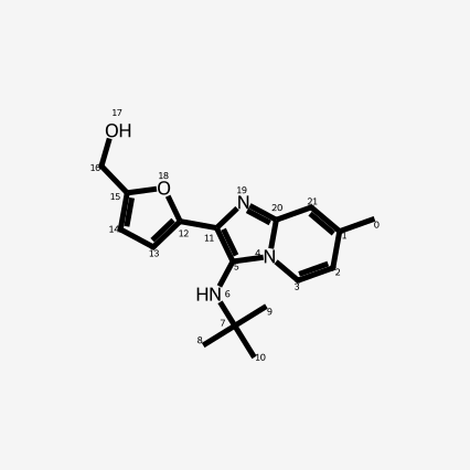 Cc1ccn2c(NC(C)(C)C)c(-c3ccc(CO)o3)nc2c1